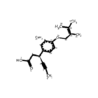 CC#C[C@@H](CC(=O)O)c1ccc(OCC(C)=C(C)C)cc1.[CaH2]